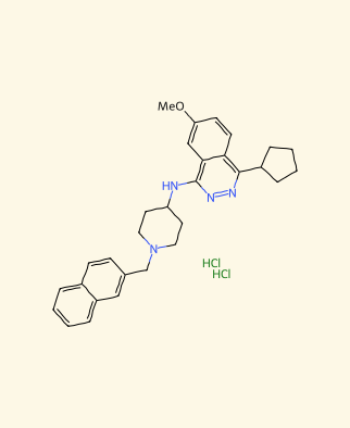 COc1ccc2c(C3CCCC3)nnc(NC3CCN(Cc4ccc5ccccc5c4)CC3)c2c1.Cl.Cl